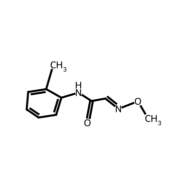 CON=CC(=O)Nc1ccccc1C